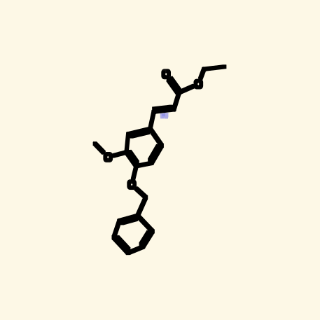 CCOC(=O)/C=C/c1ccc(OCc2ccccc2)c(OC)c1